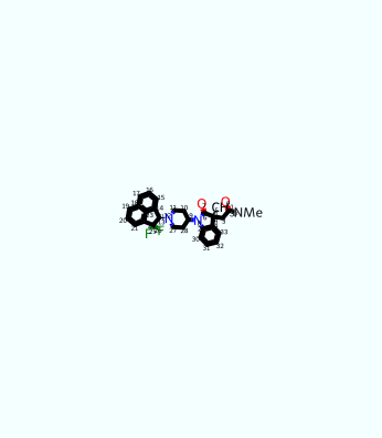 CNC(=O)C[C@]1(C)C(=O)N(C2CCN([C@H]3c4cccc5cccc(c45)C3(F)F)CC2)c2ccccc21